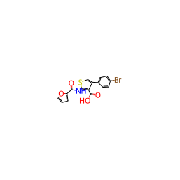 O=C(Nc1scc(-c2ccc(Br)cc2)c1C(=O)O)c1ccco1